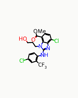 COC(=O)c1ccc(Cl)c2nc(Nc3ccc(Cl)cc3C(F)(F)F)n(CCCO)c12